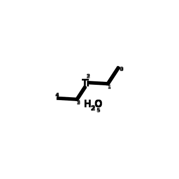 C[CH2][Ti][CH2]C.O